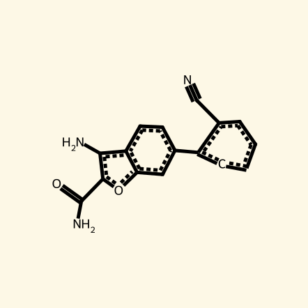 N#Cc1ccccc1-c1ccc2c(N)c(C(N)=O)oc2c1